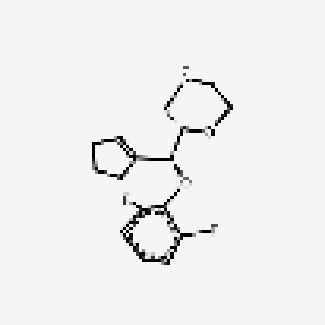 Fc1cccc(F)c1O[C@@H](C1=CCCC1)[C@@H]1CNCCO1